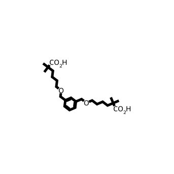 CC(C)(CCCCOCc1cccc(COCCCCC(C)(C)C(=O)O)c1)C(=O)O